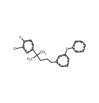 CC(C)(CCCc1cccc(Oc2ccccc2)c1)c1ccc(F)c(Cl)c1